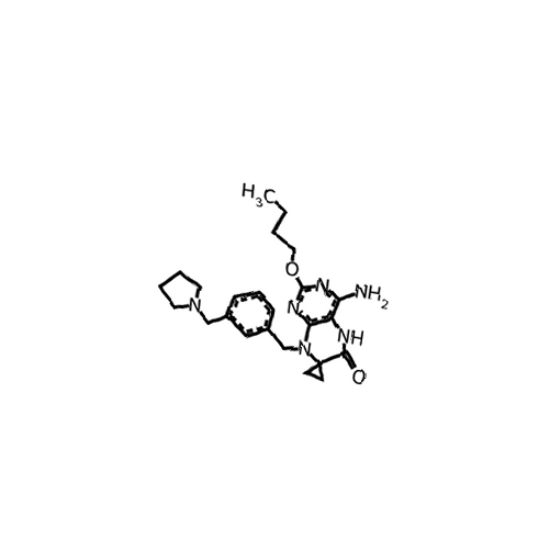 CCCCOc1nc(N)c2c(n1)N(Cc1cccc(CN3CCCC3)c1)C1(CC1)C(=O)N2